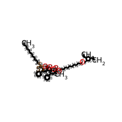 C=CC1CC(C=C)C(COCCCCCCCCCCOC(=O)C(C)(C)CC(c2ccccc2)C2C(=O)OC(=O)C2CC(SC(=S)SCCCCCCCCCCCC)c2ccccc2)C1